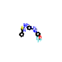 NN(C1=NC(c2ccccc2)CS1)c1ccc(-c2ncn(-c3ccc(OC(F)(F)F)cc3)n2)cc1